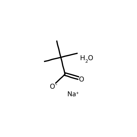 CC(C)(C)C(=O)[O-].O.[Na+]